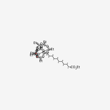 CCOC(=O)CCCCCCCCCC[Si]12O[Si]3(CC)O[Si]4(CC)O[Si]5(CC)O[Si](CC)(O3)O[Si](CC)(O[Si](CC)(O5)O[Si](CC)(O4)O1)O2